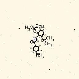 Cc1ccc(OC(C)C)c(/C=C/C(=O)c2ccc(N)cc2)c1OC(C)C